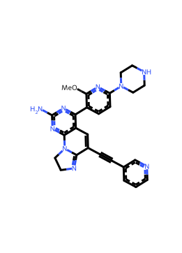 COc1nc(N2CCNCC2)ccc1-c1nc(N)nc2c1C=C(C#Cc1cccnc1)C1=NCCN12